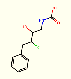 O=C(O)NCC(O)C(Cl)Cc1ccccc1